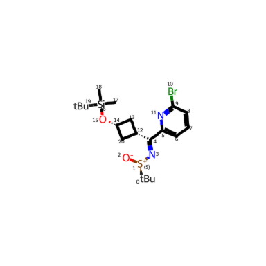 CC(C)(C)[S@@+]([O-])N=C(c1cccc(Br)n1)[C@H]1C[C@@H](O[Si](C)(C)C(C)(C)C)C1